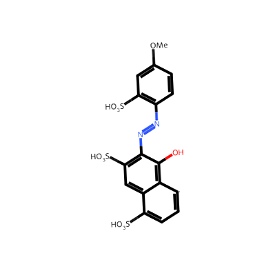 COc1ccc(N=Nc2c(S(=O)(=O)O)cc3c(S(=O)(=O)O)cc[c]c3c2O)c(S(=O)(=O)O)c1